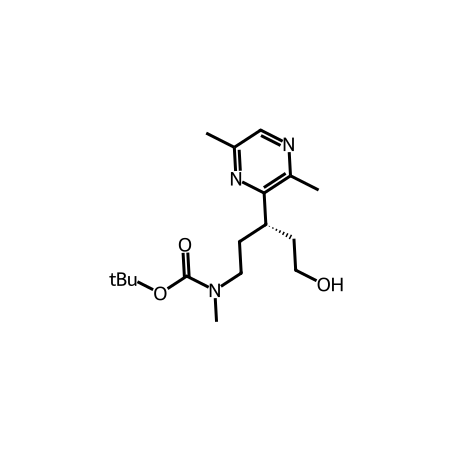 Cc1cnc(C)c([C@H](CCO)CCN(C)C(=O)OC(C)(C)C)n1